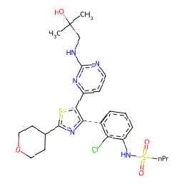 CCCS(=O)(=O)Nc1cccc(-c2nc(C3CCOCC3)sc2-c2ccnc(NCC(C)(C)O)n2)c1Cl